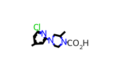 Cc1cc(Cl)nc(N2CCN(C(=O)O)C(C)C2)c1